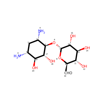 N[C@@H]1C[C@H](N)[C@@H](O[C@H]2O[C@H](C=O)[C@@H](O)[C@H](O)[C@H]2O)[C@H](O)[C@H]1O